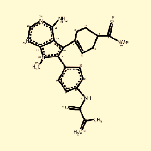 C=C(C)C(=O)Nc1ccc(-c2c(C3=CCC(C(=O)NC)CC3)c3c(N)ncnc3n2C)cc1